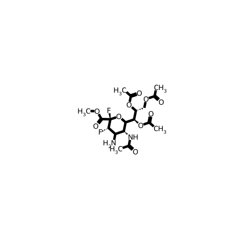 COC(=O)[C@]1(F)OC([C@H](OC(C)=O)[C@@H](COC(C)=O)OC(C)=O)[C@H](NC(C)=O)C(N)[C@@H]1F